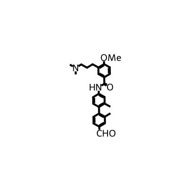 COc1ccc(C(=O)Nc2ccc(-c3ccc(C=O)cc3C)c(C)c2)cc1CCCN(C)C